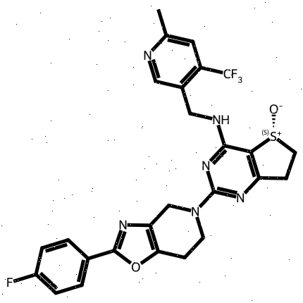 Cc1cc(C(F)(F)F)c(CNc2nc(N3CCc4oc(-c5ccc(F)cc5)nc4C3)nc3c2[S@+]([O-])CC3)cn1